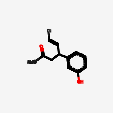 CCC=CC(CC(=O)OC)c1cccc(O)c1